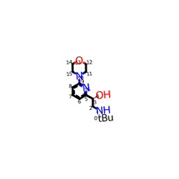 CC(C)(C)NC[C@@H](O)c1cccc(N2CCOCC2)n1